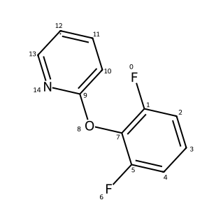 Fc1cccc(F)c1Oc1cc[c]cn1